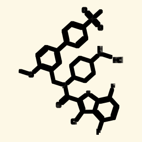 CNC1CCC(N(Cc2cc(-c3ccc(S(C)(=O)=O)cc3)ccc2OC)C(=O)c2sc3c(F)ccc(F)c3c2Cl)CC1.Cl